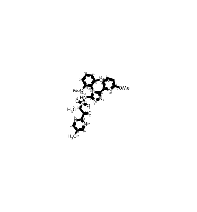 COc1cccc(-c2nnc(NS(=O)(=O)[C@@H](C)C(=O)c3ncc(C)cn3)n2-c2c(OC)cccc2OC)n1